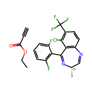 C#CC(=O)OCC.C[C@H]1C=Nc2ccc(C(F)(F)F)c(Cl)c2C(c2c(F)cccc2F)=N1